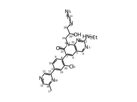 CCNc1ncc2cc(-c3ccc(-c4cncc(C)n4)cc3Cl)c(=O)n(CC(O)CN=[N+]=[N-])c2n1